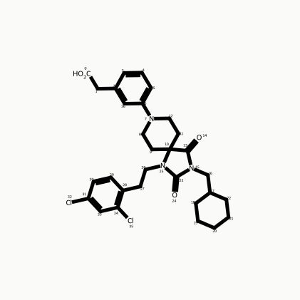 O=C(O)Cc1cccc(N2CCC3(CC2)C(=O)N(CC2CCCCC2)C(=O)N3CCc2ccc(Cl)cc2Cl)c1